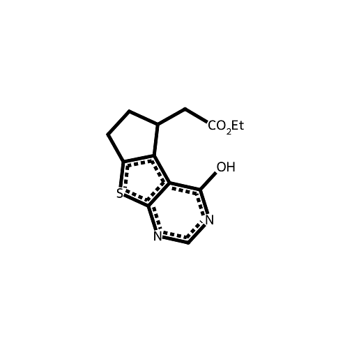 CCOC(=O)CC1CCc2sc3ncnc(O)c3c21